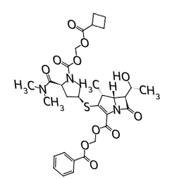 C[C@@H](O)[C@H]1C(=O)N2C(C(=O)OCOC(=O)c3ccccc3)=C(S[C@H]3C[C@@H](C(=O)N(C)C)N(C(=O)OCOC(=O)C4CCC4)C3)[C@H](C)[C@H]12